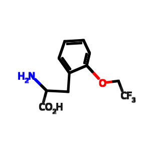 NC(Cc1ccccc1OCC(F)(F)F)C(=O)O